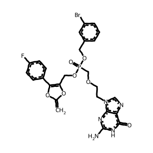 C=C1OC(COP(=O)(COCCn2cnc3c(=O)[nH]c(N)nc32)OCc2cccc(Br)c2)=C(c2ccc(F)cc2)O1